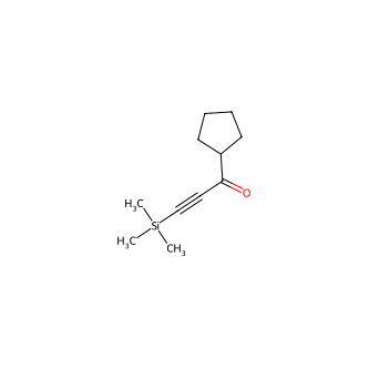 C[Si](C)(C)C#CC(=O)C1CCCC1